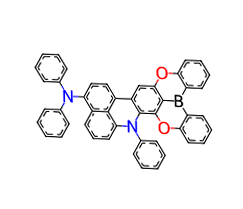 c1ccc(N(c2ccccc2)c2ccc3c4c(cccc24)N(c2ccccc2)c2c-3cc3c4c2Oc2ccccc2B4c2ccccc2O3)cc1